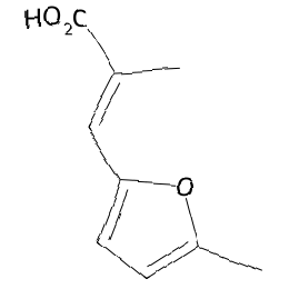 CC(=Cc1ccc(C)o1)C(=O)O